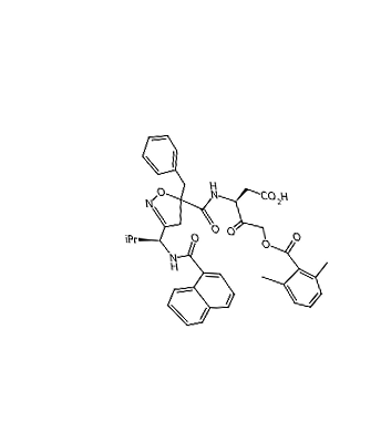 Cc1cccc(C)c1C(=O)OCC(=O)[C@H](CC(=O)O)NC(=O)C1(Cc2ccccc2)CC([C@@H](NC(=O)c2cccc3ccccc23)C(C)C)=NO1